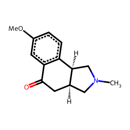 COc1ccc2c(c1)C(=O)C[C@@H]1CN(C)C[C@H]21